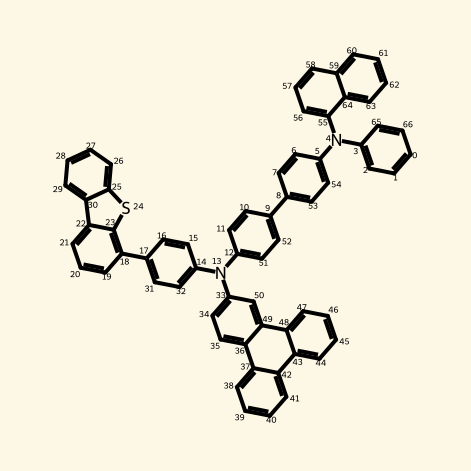 c1ccc(N(c2ccc(-c3ccc(N(c4ccc(-c5cccc6c5sc5ccccc56)cc4)c4ccc5c6ccccc6c6ccccc6c5c4)cc3)cc2)c2cccc3ccccc23)cc1